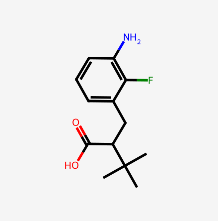 CC(C)(C)C(Cc1cccc(N)c1F)C(=O)O